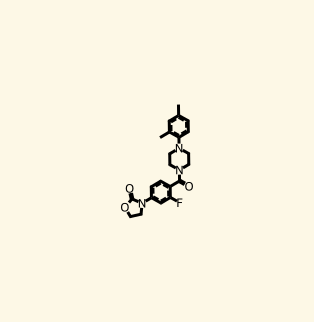 Cc1ccc(N2CCN(C(=O)c3ccc(N4CCOC4=O)cc3F)CC2)c(C)c1